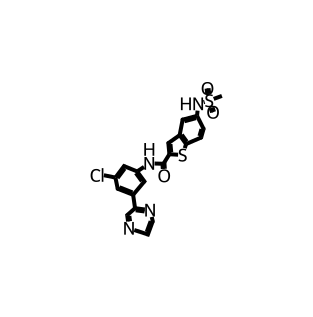 CS(=O)(=O)Nc1ccc2sc(C(=O)Nc3cc(Cl)cc(-c4cnccn4)c3)cc2c1